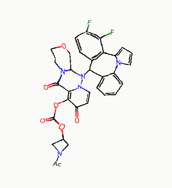 CC(=O)N1CC(OC(=O)Oc2c3n(ccc2=O)N(C2c4ccccc4-n4cccc4-c4c2ccc(F)c4F)C2COCCN2C3=O)C1